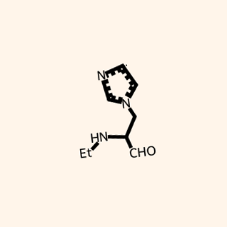 CCNC(C=O)Cn1c[c]nc1